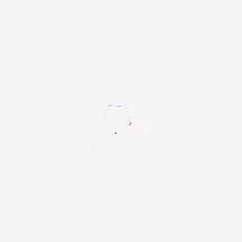 CCN1CCC(F)(P)C1=O